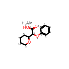 O=C(O)C(Oc1ccccc1)C1CCCCO1.[AlH3]